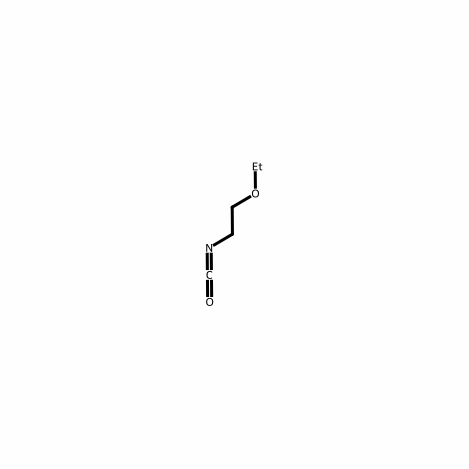 [CH2]COCCN=C=O